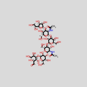 CC(=O)N[C@H]1[C@H](O[C@@H]2[C@H](O)[C@H](O[C@@H]([C@H](O)[C@@H](O)C=O)[C@H](O)CO)O[C@H](CO)[C@H]2O)O[C@H](CO)C(O[C@@H]2O[C@H](CO)[C@H](O)C(O[C@@H]3O[C@H](CO)[C@@H](O)C(O[C@@H]4OC([C@H](O)CO)[C@H](O)[C@H]4O)[C@H]3NC(C)=O)[C@H]2O)[C@@H]1O